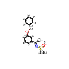 C/C(=N\[S@@+]([O-])C(C)(C)C)c1cccc(OCc2ccccc2)c1